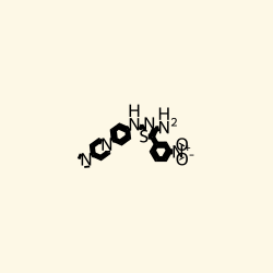 CN(C)C1CCN(c2ccc(Nc3nc(N)c(-c4cccc([N+](=O)[O-])c4)s3)cc2)CC1